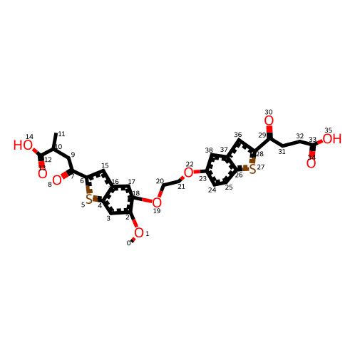 COc1cc2sc(C(=O)CC(C)C(=O)O)cc2cc1OCCOc1ccc2sc(C(=O)CCC(=O)O)cc2c1